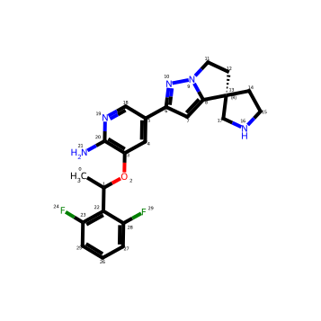 CC(Oc1cc(-c2cc3n(n2)CC[C@@]32CCNC2)cnc1N)c1c(F)cccc1F